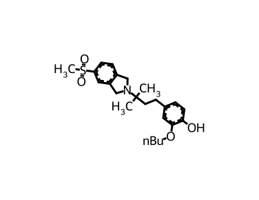 CCCCOc1cc(CCC(C)(C)N2Cc3ccc(S(C)(=O)=O)cc3C2)ccc1O